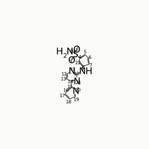 NS(=O)(=O)c1cccc(Nc2nccc(-c3ccccn3)n2)c1